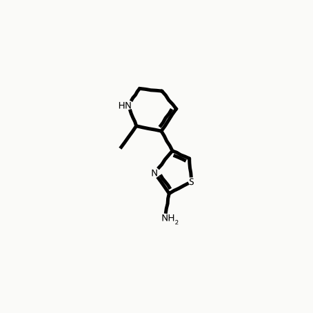 CC1NCCC=C1c1csc(N)n1